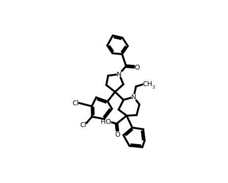 CCN1CCC(C(=O)O)(c2ccccc2)CC1C1(c2ccc(Cl)c(Cl)c2)CCN(C(=O)c2ccccc2)C1